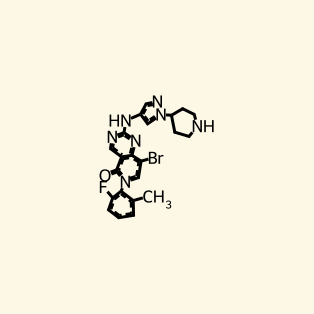 Cc1cccc(F)c1-n1cc(Br)c2nc(Nc3cnn(C4CCNCC4)c3)ncc2c1=O